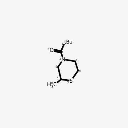 CC1CN(C(=O)C(C)(C)C)CCS1